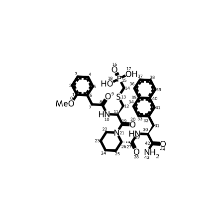 COc1ccccc1CC(=O)N[C@@H](CSCP(=O)(O)O)C(=O)N1CCCC[C@H]1C(=O)N[C@@H](Cc1ccc2ccccc2c1)C(N)=O